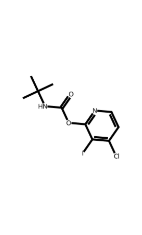 CC(C)(C)NC(=O)Oc1nccc(Cl)c1I